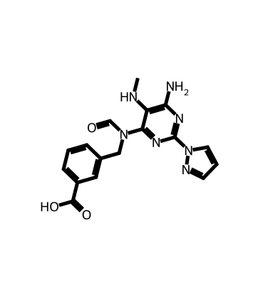 CNc1c(N)nc(-n2cccn2)nc1N(C=O)Cc1cccc(C(=O)O)c1